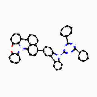 c1ccc(-c2nc(-c3ccccc3)nc(-n3c4ccccc4c4cc(-c5ccc6c7c5cccc7c5cccc7oc8ccccc8n6-c75)ccc43)n2)cc1